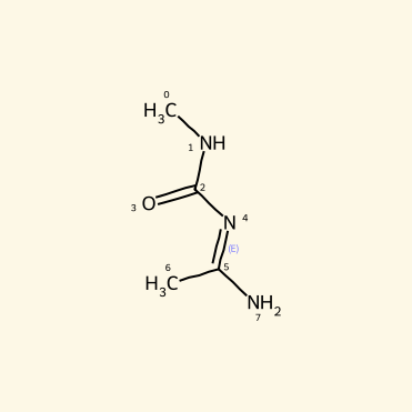 CNC(=O)/N=C(\C)N